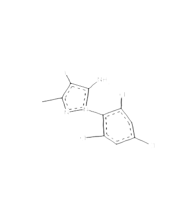 Cc1nn(-c2c(Cl)cc(Cl)cc2Cl)c(N)c1I